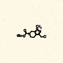 Cn1nc(CCl)c2c1CN(C(=O)OC(C)(C)C)CC2